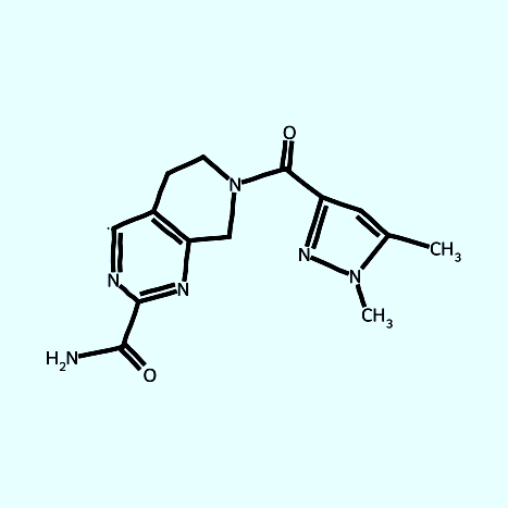 Cc1cc(C(=O)N2CCc3[c]nc(C(N)=O)nc3C2)nn1C